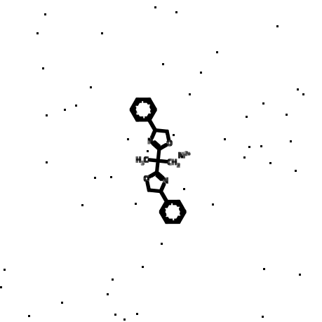 CC(C)(C1=NC(c2ccccc2)CO1)C1=NC(c2ccccc2)CO1.[Ni+2]